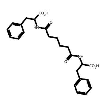 O=C(CCCCC(=O)NC(Cc1ccccc1)C(=O)O)NC(Cc1ccccc1)C(=O)O